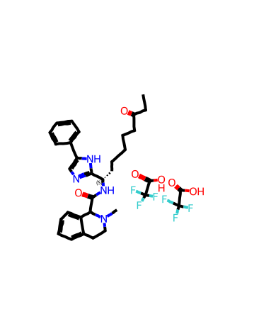 CCC(=O)CCCCC[C@H](NC(=O)C1c2ccccc2CCN1C)c1ncc(-c2ccccc2)[nH]1.O=C(O)C(F)(F)F.O=C(O)C(F)(F)F